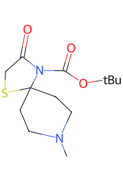 CN1CCC2(CC1)SCC(=O)N2C(=O)OC(C)(C)C